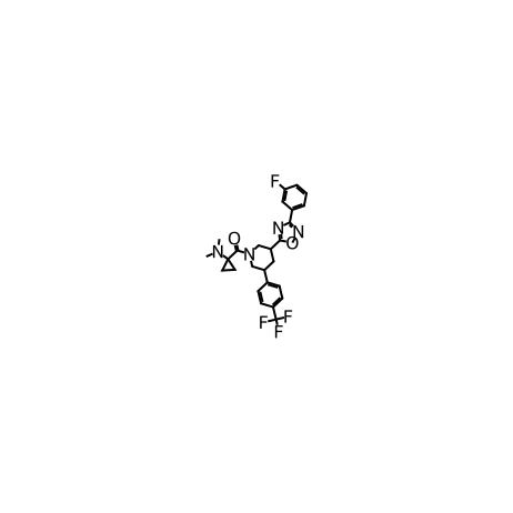 CN(C)C1(C(=O)N2CC(c3ccc(C(F)(F)F)cc3)CC(c3nc(-c4cccc(F)c4)no3)C2)CC1